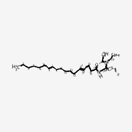 CCCCCCCCCCCCCCCCCC(=O)NC(C)N(CO)CO